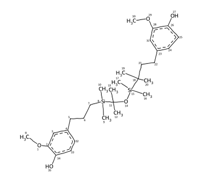 COc1cc(CCC[Si](C)(C)C(C)(C)O[Si](C)(C)C(C)(C)CCc2ccc(O)c(OC)c2)ccc1O